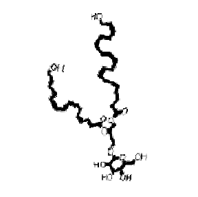 O=C(CCC/C=C\C/C=C\C/C=C\C/C=C\C/C=C\CO)OCC(COC1OC(CO)C(O)C(O)C1O)OC(=O)CC/C=C\C/C=C\C/C=C\CCCCO